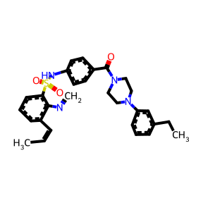 C=Nc1c(/C=C\C)cccc1S(=O)(=O)Nc1ccc(C(=O)N2CCN(c3cccc(CC)c3)CC2)cc1